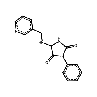 O=C1NC(NCc2cccnc2)C(=O)N1c1ccccc1